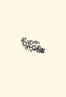 CC(C)(C)[C@H]1CC[C@H](c2cc(OC(F)(F)F)ccc2C(=O)NC2CCc3cc(C(=O)Nc4nnn[nH]4)ccc32)CC1